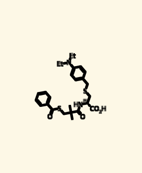 CCN(CC)c1ccc(CSC[C@H](NC(=O)C(C)(C)CSC(=O)c2ccccc2)C(=O)O)cc1